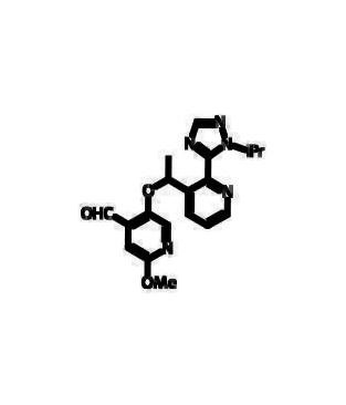 COc1cc(C=O)c(OC(C)c2cccnc2-c2ncnn2C(C)C)cn1